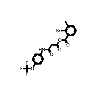 Cc1cccc(C(=O)OC(=O)CC(=O)Nc2ccc(OC(F)(F)F)cc2)c1Br